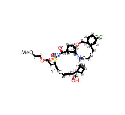 COCCOCC[C@@H]1[C@@H](C)C/C=C/[C@H](O)[C@@H]2CC[C@H]2CN2CCCCc3cc(Cl)ccc3COc3ccc(cc32)C(=O)NS1(=O)=O